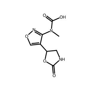 CN(C(=O)O)c1nocc1C1CNC(=O)O1